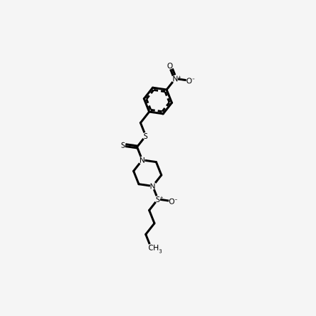 CCCC[S+]([O-])N1CCN(C(=S)SCc2ccc([N+](=O)[O-])cc2)CC1